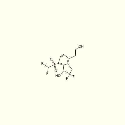 O=S(=O)(c1ccc(CCO)c2c1C(O)C(F)(F)C2)C(F)F